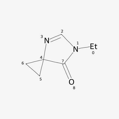 CCN1C=NC2(CC2)C1=O